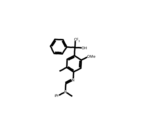 COc1cc(N=CN(C)C(C)C)c(C)cc1C(O)(c1ccccc1)C(F)(F)F